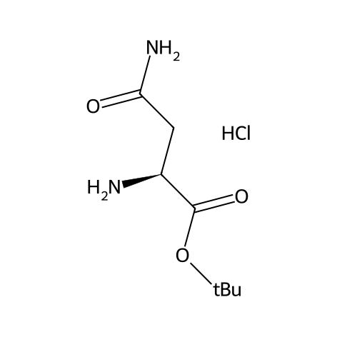 CC(C)(C)OC(=O)[C@@H](N)CC(N)=O.Cl